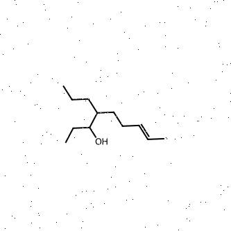 [CH2]C=CCCC(CCC)C(O)CC